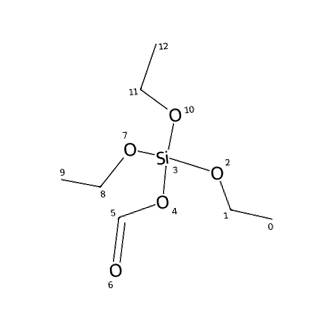 CCO[Si](OC=O)(OCC)OCC